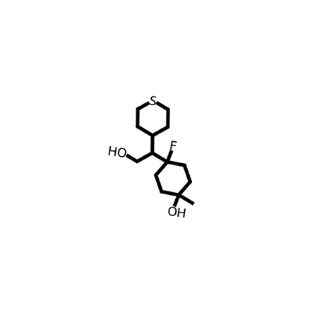 CC1(O)CCC(F)(C(CO)C2CCSCC2)CC1